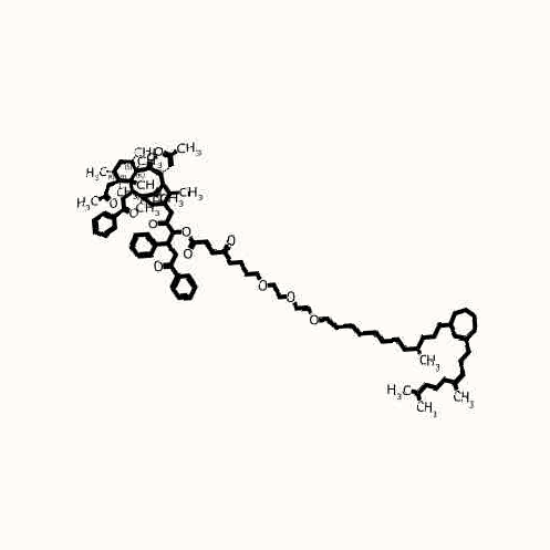 CC(=O)C[C@H]1C(=O)[C@]2(C)[C@@H](C)C[C@@H](C)[C@](C)(CC(C)=O)C2(C)C(CC(=O)c2ccccc2)[C@]2(C)CC(CC(=O)C(OC(=O)CCC(=O)CCCCOCCOCCOCCCCCCCCC(C)CCCC3CCCCC(CCCC(C)CCCC(C)C)C3)C(CC(=O)c3ccccc3)c3ccccc3)C(C)C1[C@@H]2C